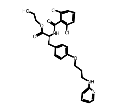 O=C(N[C@@H](Cc1ccc(OCCCNc2ccccn2)cc1)C(=O)OCCO)c1c(Cl)cccc1Cl